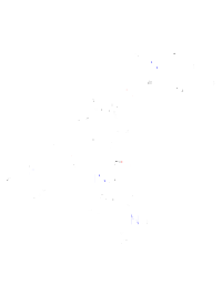 C=C/C(=C\C)COc1ccc(OC[C@@H](CCC)N(C)C)cc1C(=O)Nc1cccnc1